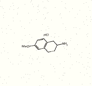 COc1ccc2c(c1)CCC(N)C2.Cl